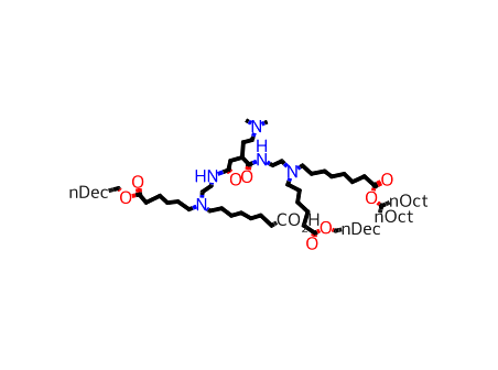 CCCCCCCCCCCOC(=O)CCCCCN(CCCCCCCC(=O)O)CCNC(=O)CC(CCN(C)C)C(=O)NCCN(CCCCCCCC(=O)OC(CCCCCCCC)CCCCCCCC)CCCCCC(=O)OCCCCCCCCCCC